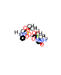 C=C1NC(=O)C=CN1[C@@H]1O[C@H](COP(=S)(NC(C)C(=O)OC(C)C)Oc2ccccc2)[C@@H](O)[C@@]1(C)F